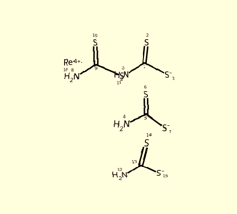 NC(=S)[S-].NC(=S)[S-].NC(=S)[S-].NC(=S)[S-].[Re+4]